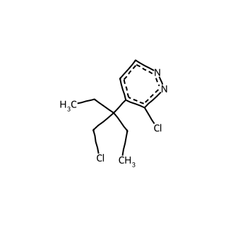 CCC(CC)(CCl)c1ccnnc1Cl